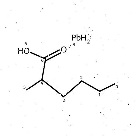 CCCCC(C)C(=O)O.[PbH2]